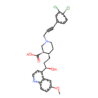 COc1ccc2nccc([C@H](O)CC[C@@H]3CCN(CC#Cc4ccc(Cl)c(Cl)c4)C[C@@H]3C(=O)O)c2c1